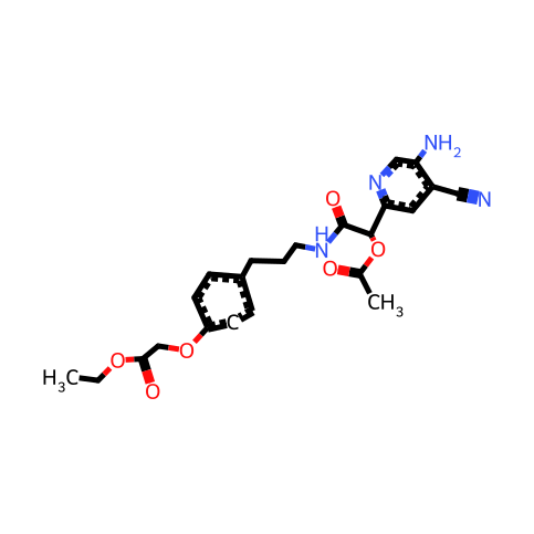 CCOC(=O)COc1ccc(CCCNC(=O)C(OC(C)=O)c2cc(C#N)c(N)cn2)cc1